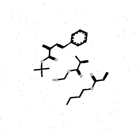 C=C(C)C(=O)OCO.C=C(C=Cc1ccccc1)C(=O)OC(C)(C)C.C=CC(=O)OCCCC